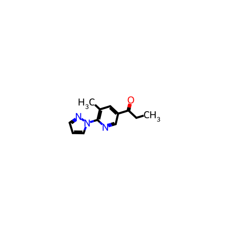 CCC(=O)c1cnc(-n2cccn2)c(C)c1